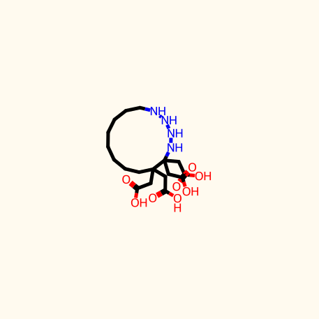 O=C(O)CC1(CC(=O)O)CCCCCCCCNNNNC1(CC(=O)O)CC(=O)O